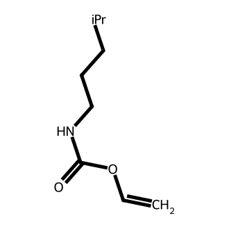 C=COC(=O)NCCCC(C)C